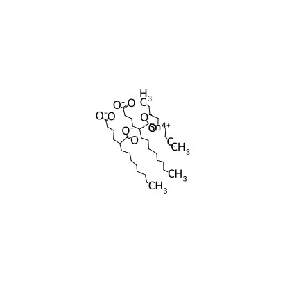 CCCCCCCCC(CCCC(=O)[O-])C(=O)[O-].CCCCCCCCC(CCCC(=O)[O-])C(=O)[O-].CCC[CH2][Sn+4][CH2]CCC